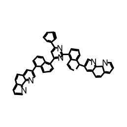 C/C=C\c1c(-c2nc(-c3c#cccc3)cc(-c3cccc4c(-c5cnc6c(ccc7cccnc76)c5)cccc34)n2)cccc1C(C)c1cnc2c(ccc3cccnc32)c1